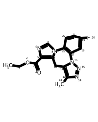 CCOC(=O)c1ncn2c1Cc1c(C)nnn1-c1cc(F)ccc1-2